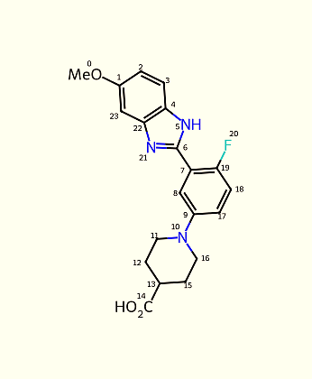 COc1ccc2[nH]c(-c3cc(N4CCC(C(=O)O)CC4)ccc3F)nc2c1